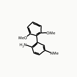 CNc1ccc(N)c(-c2c(OC)cccc2OC)c1